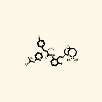 CC(C)Oc1ccc([C@H](c2ccc(Cl)cc2)[C@H](N)C(=O)Nc2cccc(F)c2CC[C@H]2CN[C@@H]3CCCS(O)(O)N2C3)cn1